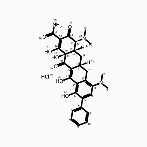 CN(C)c1cc(-c2ccccc2)c(O)c2c1C[C@H]1C[C@H]3[C@H](N(C)C)C(=O)C(C(N)=O)=C(O)[C@@]3(O)C(=O)C1=C2O.Cl